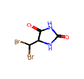 O=C1NC(=O)C(C(Br)Br)N1